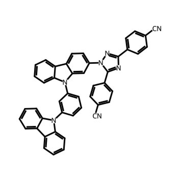 N#Cc1ccc(-c2nc(-c3ccc(C#N)cc3)n(-c3ccc4c5ccccc5n(-c5cccc(-n6c7ccccc7c7ccccc76)c5)c4c3)n2)cc1